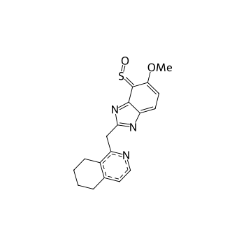 COC1=CC=C2N=C(Cc3nccc4c3CCCC4)N=C2C1=S=O